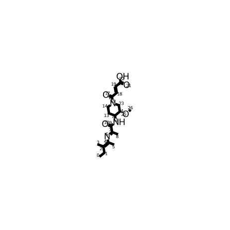 CC/C(C)=C(C)/N=C(\C)C(=O)NC1CCN(C(=O)/C=C/C(=O)O)C[C@@H]1OC